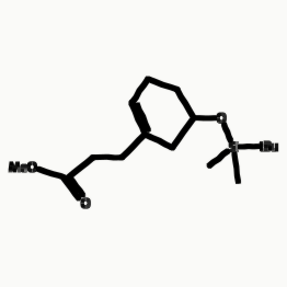 COC(=O)CCC1=CCCC(O[Si](C)(C)C(C)(C)C)C1